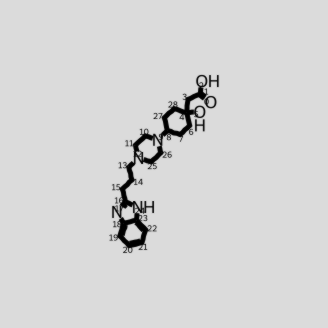 O=C(O)CC1(O)CCC(N2CCN(CCCc3nc4ccccc4[nH]3)CC2)CC1